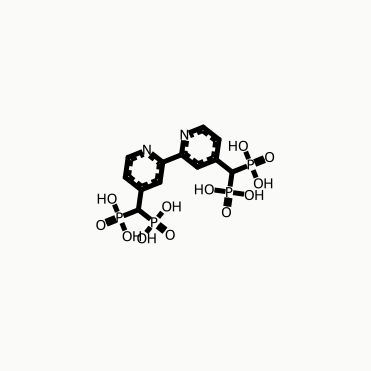 O=P(O)(O)C(c1ccnc(-c2cc(C(P(=O)(O)O)P(=O)(O)O)ccn2)c1)P(=O)(O)O